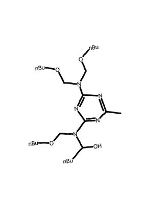 CCCCOCN(COCCCC)c1nc(C)nc(N(COCCCC)C(O)CCCC)n1